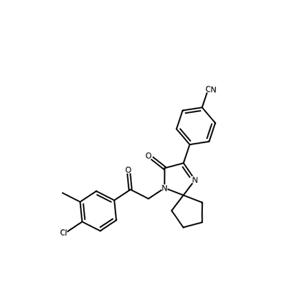 Cc1cc(C(=O)CN2C(=O)C(c3ccc(C#N)cc3)=NC23CCCC3)ccc1Cl